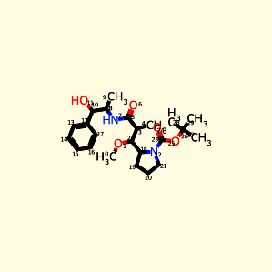 COC(C(C)C(=O)NC(C)C(O)c1ccccc1)C1CCCN1C(=O)OC(C)(C)C